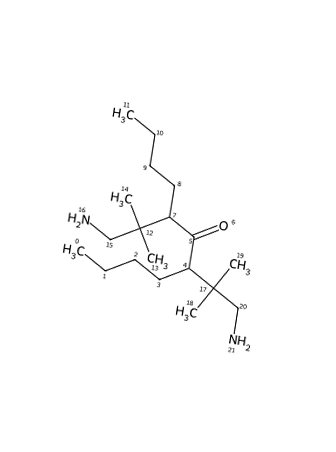 CCCCC(C(=O)C(CCCC)C(C)(C)CN)C(C)(C)CN